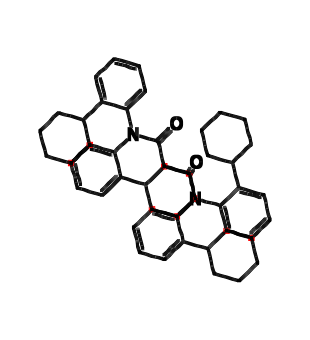 O=C(CC(=O)N(c1ccccc1C1CCCCC1)c1ccccc1C1CCCCC1)N(c1ccccc1C1CCCCC1)c1ccccc1C1CCCCC1